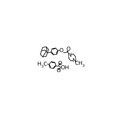 CN1CCN(C(=O)COc2ccc(C34CC5CC(CC(C5)C3)C4)cc2)CC1.Cc1ccc(S(=O)(=O)O)cc1